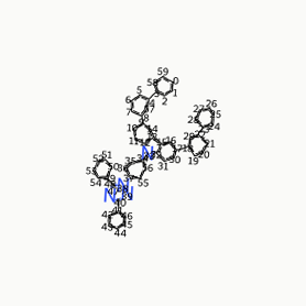 c1ccc(-c2cccc(-c3ccc4c(c3)c3cc(-c5cccc(-c6ccccc6)c5)ccc3n4-c3ccc(-n4nc(-c5ccccc5)nc4-c4ccccc4)cc3)c2)cc1